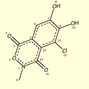 Cn1oc(=O)c2cc(O)c(O)c(Cl)c2c1=O